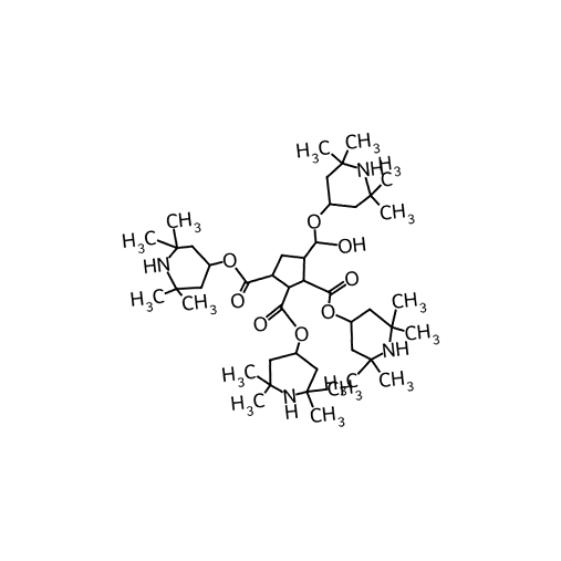 CC1(C)CC(OC(=O)C2CC(C(O)OC3CC(C)(C)NC(C)(C)C3)C(C(=O)OC3CC(C)(C)NC(C)(C)C3)C2C(=O)OC2CC(C)(C)NC(C)(C)C2)CC(C)(C)N1